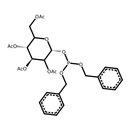 CC(=O)OCC1O[C@H](OP(OCc2ccccc2)OCc2ccccc2)C(OC(C)=O)[C@@H](OC(C)=O)[C@@H]1OC(C)=O